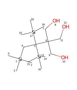 C[Si](C)(C)CC(C(CO)(CO)CO)([Si](C)(C)C)[Si](C)(C)C